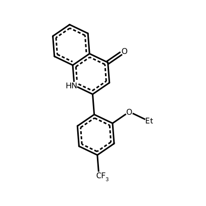 CCOc1cc(C(F)(F)F)ccc1-c1cc(=O)c2ccccc2[nH]1